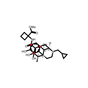 COC(=O)C1(NC(=O)C2=C(O)[C@H](C)[C@]34CCN(CC5CC5)[C@H](Cc5ccc(O)c(O)c53)[C@]4(O)C2)CCC1